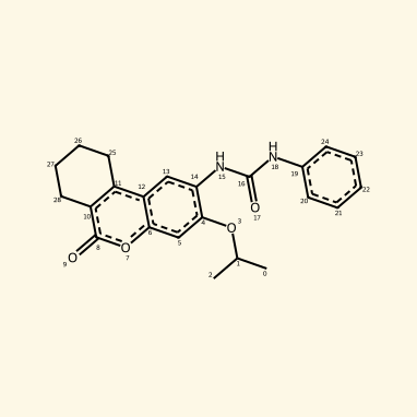 CC(C)Oc1cc2oc(=O)c3c(c2cc1NC(=O)Nc1ccccc1)CCCC3